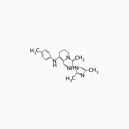 C=C(Cn1cc(C)nc1C)N1CCCC(Nc2ccc(C)cc2)=C1C=N